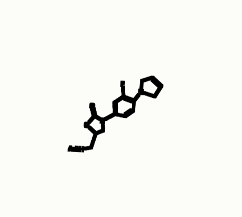 CC(=O)NCC1CN(c2ccc(N3CC=CC3)c(F)c2)C(=O)O1